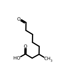 CC(CCCCC=O)CC(=O)O